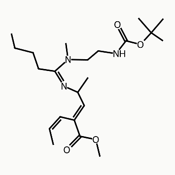 C/C=C\C(=C/C(C)/N=C(/CCCC)N(C)CCNC(=O)OC(C)(C)C)C(=O)OC